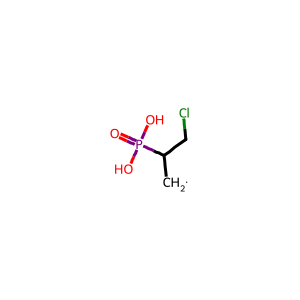 [CH2]C(CCl)P(=O)(O)O